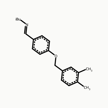 CCC(C)/N=C/c1ccc(OCc2ccc(C)c(C)c2)cc1